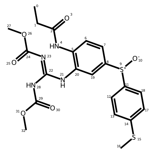 CCC(=O)Nc1ccc([S+]([O-])c2ccc(SC)cc2)cc1NC(=NC(=O)OC)NC(=O)OC